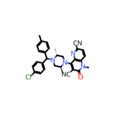 Cc1ccc(C(c2ccc(Cl)cc2)N2C[C@H](C)N(c3c(C#N)c(=O)n(C)c4ccc(C#N)nc34)C[C@H]2C)cc1